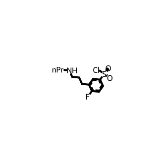 CCCNCCCc1cc(S(=O)(=O)Cl)ccc1F